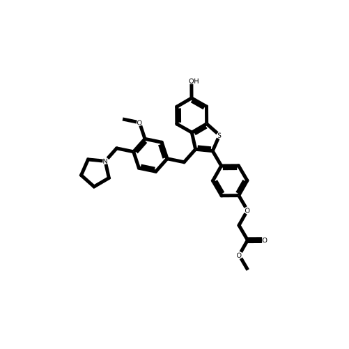 COC(=O)COc1ccc(-c2sc3cc(O)ccc3c2Cc2ccc(CN3CCCC3)c(OC)c2)cc1